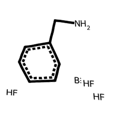 F.F.F.NCc1ccccc1.[B]